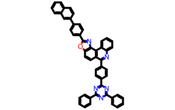 c1ccc(-c2nc(-c3ccccc3)nc(-c3ccc(-c4nc5ccccc5c5c4ccc4oc(-c6ccc(-c7ccc8ccccc8c7)cc6)nc45)cc3)n2)cc1